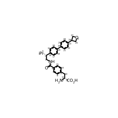 CC(C)[C@@H](CNC(=O)c1ccc(C[C@@H](N)C(=O)O)cc1)c1ccc(-c2ccc(C3COC3)cc2)cc1